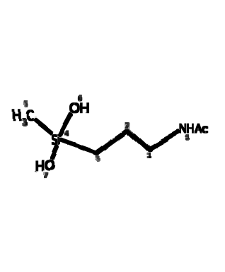 CC(=O)NCCC[Si](C)(O)O